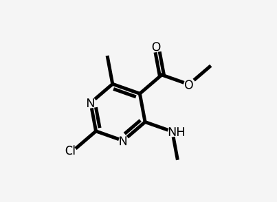 CNc1nc(Cl)nc(C)c1C(=O)OC